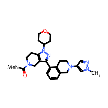 CNC(=O)N1CCc2c(c(-c3cccc4c3CCN(c3cnn(C)c3)C4)nn2C2CCOCC2)C1